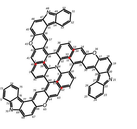 c1ccc(N(c2ccccc2-c2cccc3oc4ccc5nc6ccccc6c5c4cc23)c2ccccc2-c2cccc3oc4ccc5nc6ccccc6c5c4cc23)c(-c2cccc3oc4ccc5nc6ccccc6c5c4cc23)c1